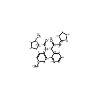 CC(C)(C)c1ccc(N(C(=O)[C@H]2CCCN2C#N)C(C(=O)NC2CCCC2)c2cccnc2)cc1